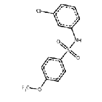 O=S(=O)(Nc1cccc(Cl)c1)c1ccc(OC(F)(F)F)cc1